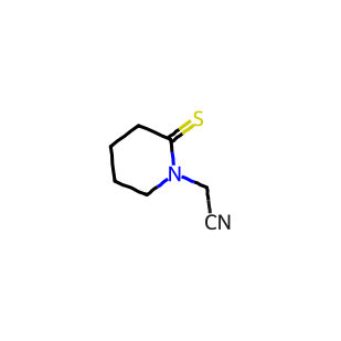 N#CCN1CCCCC1=S